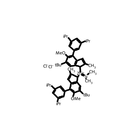 COc1c(C(C)(C)C)cc2c(c1-c1cc(C(C)C)cc(C(C)C)c1)C=C(C)[CH]2[Zr+2]([CH]1C(C)=Cc2c1cc(C(C)(C)C)c(OC)c2-c1cc(C(C)C)cc(C(C)C)c1)=[Si](C)C.[Cl-].[Cl-]